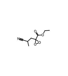 CCOC(=O)C1(CC(C)C#N)OO1